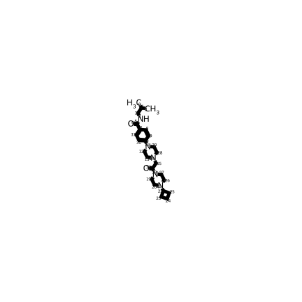 CC(C)CNC(=O)c1ccc(N2CCN(CC(=O)N3CCN(C4CCC4)CC3)CC2)cc1